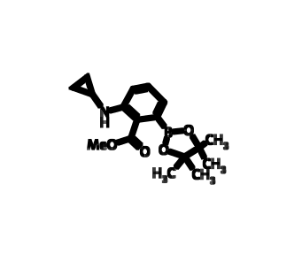 COC(=O)c1c(NC2CC2)cccc1B1OC(C)(C)C(C)(C)O1